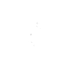 O=C(O)CC1C=CC(CC(=O)O)CC1